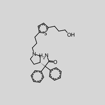 NC(=O)C(c1ccccc1)(c1ccccc1)[C@@H]1CCN(CCCc2ccc(CCCO)s2)C1